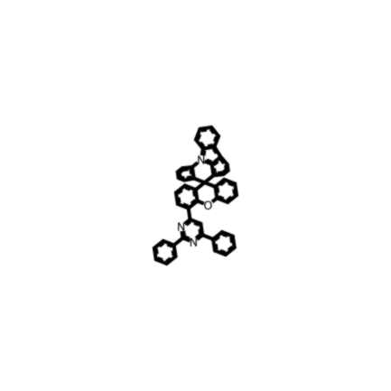 c1ccc(-c2cc(-c3cccc4c3Oc3ccccc3C43c4ccccc4-n4c5ccccc5c5cccc3c54)nc(-c3ccccc3)n2)cc1